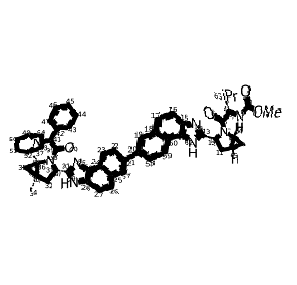 COC(=O)N[C@H](C(=O)N1[C@@H]2C[C@@H]2C[C@H]1c1nc2ccc3cc(-c4ccc5c(ccc6[nH]c([C@@H]7C[C@@]8(C)C[C@@]8(C)N7C(=O)C(c7ccccc7)N7C8CCC7CC8)nc65)c4)ccc3c2[nH]1)C(C)C